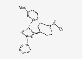 COc1cccc(-c2cnc(-c3ccncc3)nc2C2CCN(C(=O)C(F)(F)F)CC2)c1